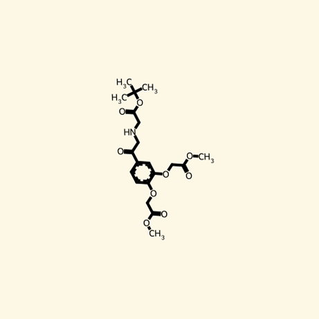 COC(=O)COc1ccc(C(=O)CNCC(=O)OC(C)(C)C)cc1OCC(=O)OC